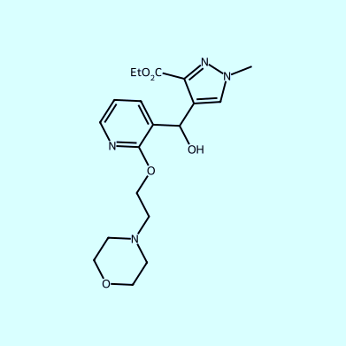 CCOC(=O)c1nn(C)cc1C(O)c1cccnc1OCCN1CCOCC1